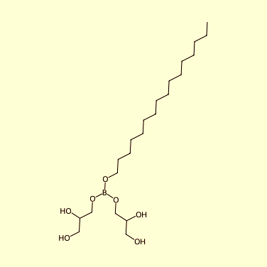 CCCCCCCCCCCCCCCCOB(OCC(O)CO)OCC(O)CO